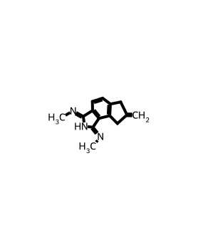 C=C1Cc2ccc3c(c2C1)/C(=N/C)N/C3=N\C